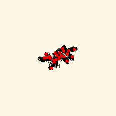 CCCCCN(CC1=C(C(=O)OCc2ccc(OC)cc2)N2C(=O)[C@@H](NC(=O)/C(=N\O[C@@H](CC(=O)OC(C)(C)C)C(=O)OCc3ccc(OC)cc3)c3csc(NC(=O)OC(C)(C)C)n3)[C@H]2SC1)Cc1cn(CC)c2cc(OCc3ccc(OC)cc3)c(OCc3ccc(OC)cc3)cc2c1=O